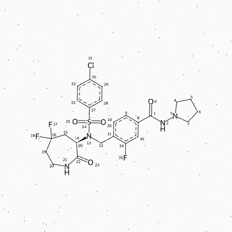 O=C(NN1CCCC1)c1ccc(CN([C@@H]2CC(F)(F)CCNC2=O)S(=O)(=O)c2ccc(Cl)cc2)c(F)c1